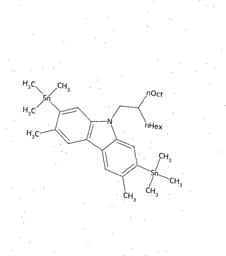 CCCCCCCCC(CCCCCC)Cn1c2c[c]([Sn]([CH3])([CH3])[CH3])c(C)cc2c2cc(C)[c]([Sn]([CH3])([CH3])[CH3])cc21